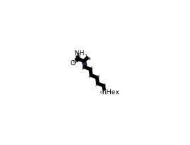 CCCCCCCCCCC/C=C(\C)C(N)=O